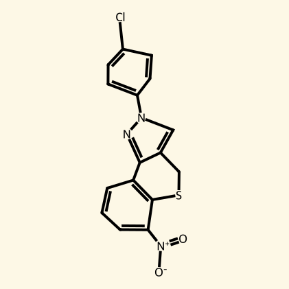 O=[N+]([O-])c1cccc2c1SCc1cn(-c3ccc(Cl)cc3)nc1-2